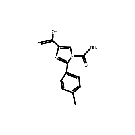 Cc1ccc(-c2nc(C(=O)O)cn2C(N)=O)cc1